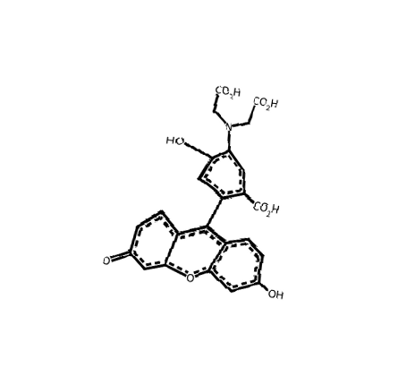 O=C(O)CN(CC(=O)O)c1cc(C(=O)O)c(-c2c3ccc(=O)cc-3oc3cc(O)ccc23)cc1O